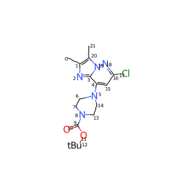 Cc1nc2c(N3CCN(C(=O)OC(C)(C)C)CC3)cc(Cl)nn2c1C